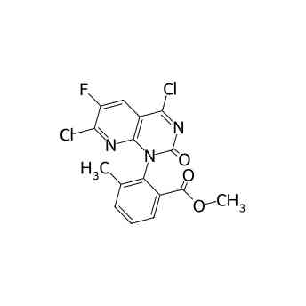 COC(=O)c1cccc(C)c1-n1c(=O)nc(Cl)c2cc(F)c(Cl)nc21